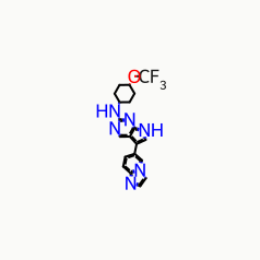 FC(F)(F)OC1CCC(Nc2ncc3c(-c4ccc5nccn5c4)c[nH]c3n2)CC1